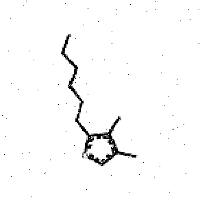 CCCCCCc1occ(C)c1C